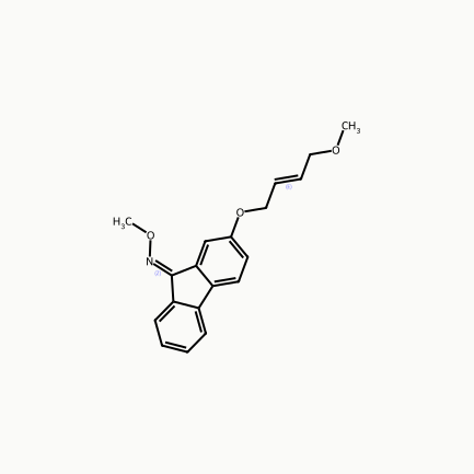 COC/C=C/COc1ccc2c(c1)/C(=N\OC)c1ccccc1-2